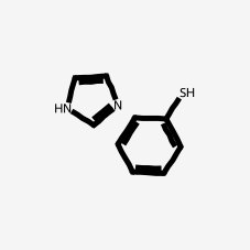 Sc1ccccc1.c1c[nH]cn1